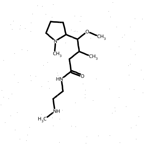 CNCCNC(=O)CC(C)C(OC)C1CCCN1C